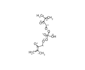 C=C(C)C(=O)COOP(=O)(O)OOCC(=O)C(=C)C